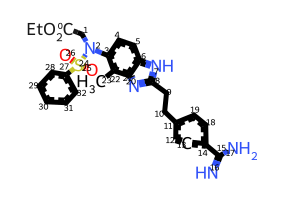 CCOC(=O)CN(c1ccc2[nH]c(CCc3ccc(C(=N)N)cc3)nc2c1C)S(=O)(=O)c1ccccc1